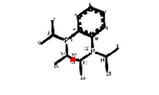 CC(C)P(c1[c]cccc1P(C(C)C)C(C)C)C(C)C